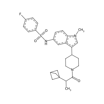 CC(C(=O)N1CCC(c2cn(C)c3ccc(NS(=O)(=O)c4ccc(F)cc4)cc23)CC1)C12CC(C1)C2